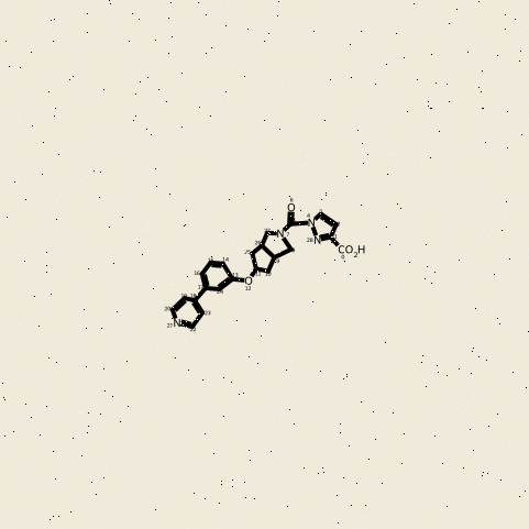 O=C(O)c1ccn(C(=O)N2CC3CC(Oc4cccc(-c5ccncc5)c4)CC3C2)n1